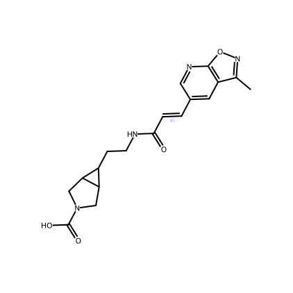 Cc1noc2ncc(/C=C/C(=O)NCCC3C4CN(C(=O)O)CC34)cc12